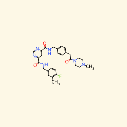 Cc1cc(CNC(=O)c2cc(C(=O)NCc3ccc(CC(=O)N4CCN(C)CC4)cc3)ncn2)ccc1F